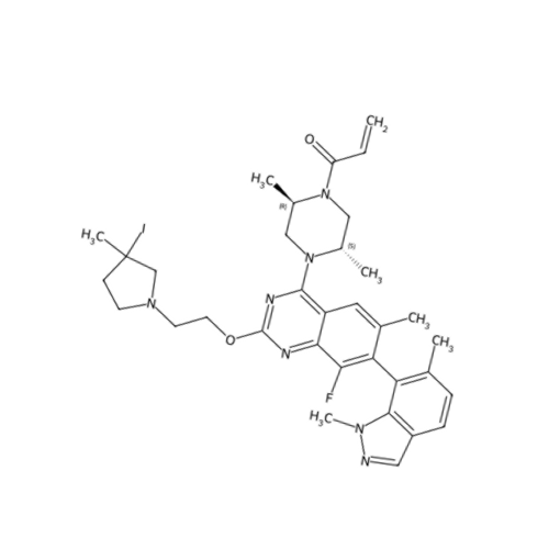 C=CC(=O)N1C[C@H](C)N(c2nc(OCCN3CCC(C)(I)C3)nc3c(F)c(-c4c(C)ccc5cnn(C)c45)c(C)cc23)C[C@H]1C